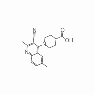 Cc1ccc2nc(C)c(C#N)c(N3CCC(C(=O)O)CC3)c2c1